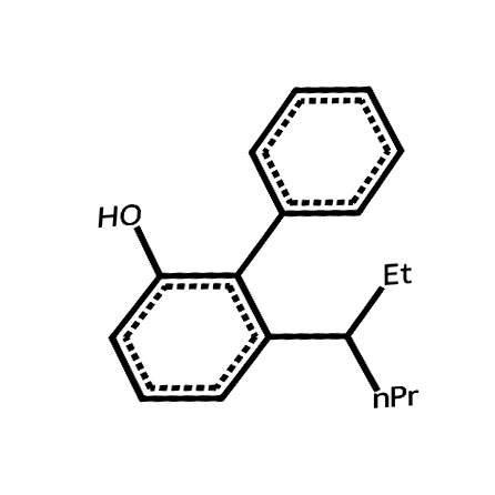 CCCC(CC)c1cccc(O)c1-c1ccccc1